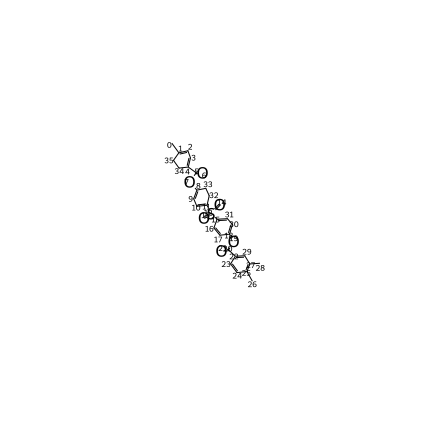 CC1=CC=C(C(=O)OC2=CC=C(S(=O)(=O)c3ccc(OC(=O)c4ccc(C)c(C)c4)cc3)CC2)CC1